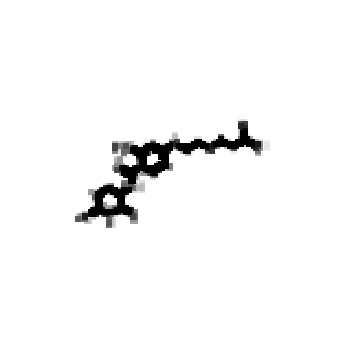 Cc1cc(OCCOCCC(=O)O)ccc1C(=O)NC1CCC(=O)NC1=O